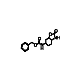 O=C(NC1CCC2NC(=O)OC2C1)OCc1ccccc1